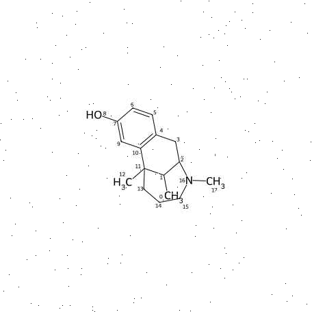 CC1C2Cc3ccc(O)cc3C1(C)CCCN2C